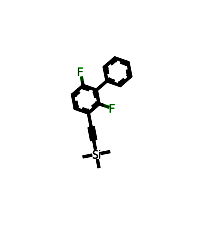 C[Si](C)(C)C#Cc1ccc(F)c(-c2ccccc2)c1F